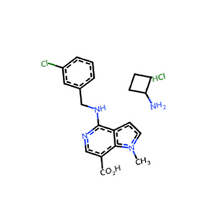 Cl.Cn1ccc2c(NCc3cccc(Cl)c3)ncc(C(=O)O)c21.NC1CCC1